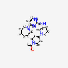 CC(=O)N1CCC(N2CCC[C@H](Nc3nccc(N4CCCCCC4)n3)C2)CC1